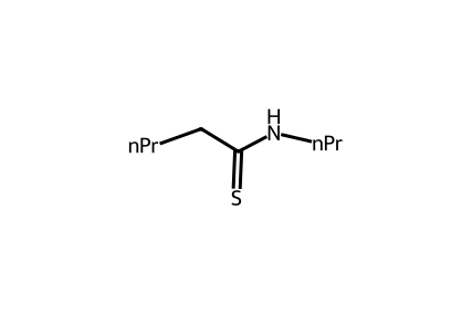 CCCCC(=S)NCCC